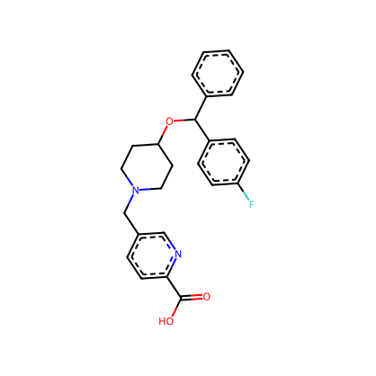 O=C(O)c1ccc(CN2CCC(OC(c3ccccc3)c3ccc(F)cc3)CC2)cn1